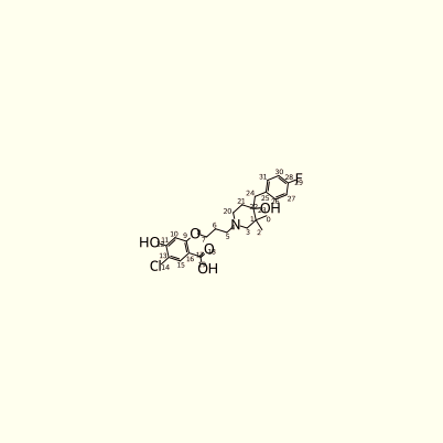 CC1(C)CN(CCCOc2cc(O)c(Cl)cc2C(=O)O)CCC1(O)Cc1ccc(F)cc1